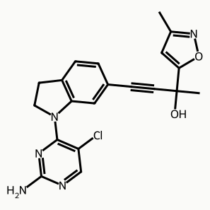 Cc1cc(C(C)(O)C#Cc2ccc3c(c2)N(c2nc(N)ncc2Cl)CC3)on1